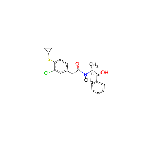 C[C@H]([C@H](O)c1ccccc1)N(C)C(=O)Cc1ccc(SC2CC2)c(Cl)c1